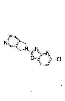 Clc1ccc2oc(N3Cc4ccncc4C3)nc2n1